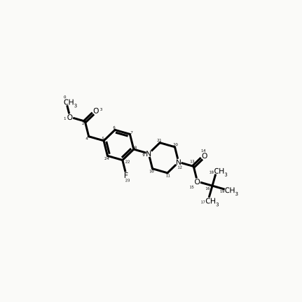 COC(=O)Cc1ccc(N2CCN(C(=O)OC(C)(C)C)CC2)c(F)c1